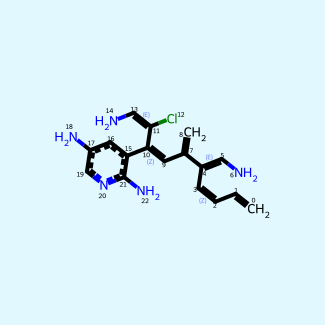 C=C/C=C\C(=C/N)C(=C)/C=C(\C(Cl)=C/N)c1cc(N)cnc1N